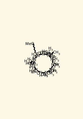 C/C=C/C[C@@H](C)[C@@H](O)[C@H]1C(=O)N[C@@H](CC)C(=O)N(C)[C@H](CSCCCCCCOC)C(=O)N(C)[C@@H](CC(C)(C)O)C(=O)N[C@@H](C(C)C)C(=O)N(C)[C@@H](CC(C)C)C(=O)N[C@@H](C)C(=O)N[C@H](C)C(=O)N(C)[C@@H](CC(C)C)C(=O)N(C)[C@@H](CC(C)C)C(=O)N(C)[C@@H](C(C)C)C(=O)N1C